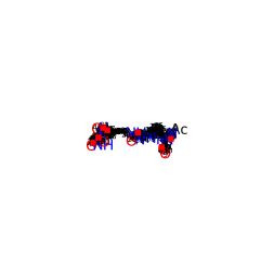 CC(=O)N1CCn2c(C3CCOCC3)nc(-c3cccc4cc(-c5ccc(C(=O)NCCC#Cc6ccc7c(c6)n(C)c(=O)n7C6CCC(=O)NC6=O)nc5)ncc34)c2C1